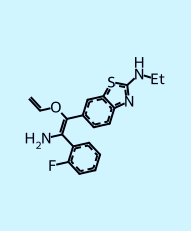 C=CO/C(=C(\N)c1ccccc1F)c1ccc2nc(NCC)sc2c1